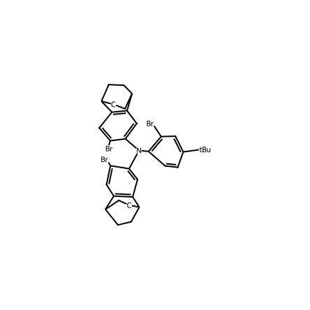 CC(C)(C)c1ccc(N(c2cc3c(cc2Br)C2CCC3CC2)c2cc3c(cc2Br)C2CCC3CC2)c(Br)c1